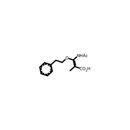 CC(=O)NC(OCCc1ccccc1)=C(C)C(=O)O